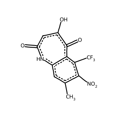 Cc1cc2[nH]c(=O)cc(O)c(=O)c2c(C(F)(F)F)c1[N+](=O)[O-]